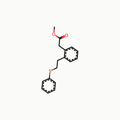 COC(=O)Cc1ccccc1CCSc1ccccc1